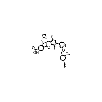 COc1cc(C#N)ccc1COc1nccc(-c2cc(F)c(Cn3c(=O)c4ccc(C(=O)O)cc4n3C[C@@H]3CCO3)cc2F)n1